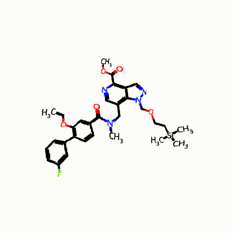 CCOc1cc(C(=O)N(C)Cc2cnc(C(=O)OC)c3cnn(COCC[Si](C)(C)C)c23)ccc1-c1cccc(F)c1